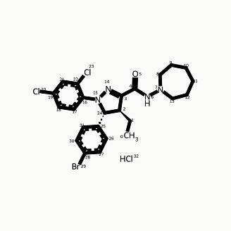 CC[C@@H]1C(C(=O)NN2CCCCCC2)=NN(c2ccc(Cl)cc2Cl)[C@H]1c1ccc(Br)cc1.Cl